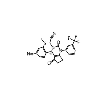 CSc1cc(C#N)ccc1[C@@H]1C2=C(CCC2=O)N(c2cccc(C(F)(F)F)c2)C(=O)N1CC#N